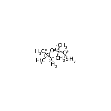 C[Si](C)(C)O[Si](C)(C)O[SiH3]